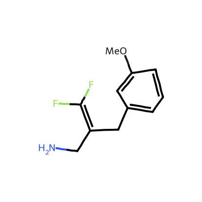 COc1cccc(CC(CN)=C(F)F)c1